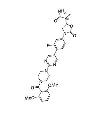 COc1cccc(OC)c1C(=O)N1CCN(c2ncc(-c3ccc(N4CC([C@H](C)C(N)=O)OC4=O)cc3F)cn2)CC1